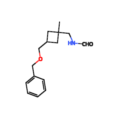 CC1(CNC=O)CC(COCc2ccccc2)C1